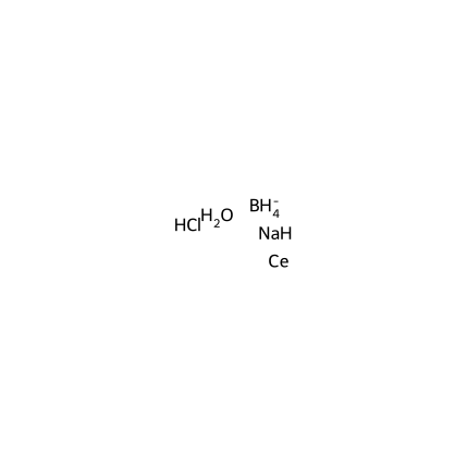 Cl.O.[BH4-].[Ce].[NaH]